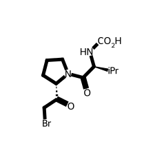 CC(C)[C@H](NC(=O)O)C(=O)N1CCC[C@H]1C(=O)CBr